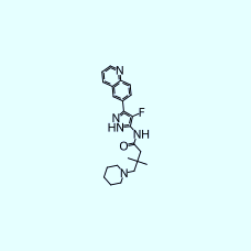 CC(C)(CC(=O)Nc1[nH]nc(-c2ccc3ncccc3c2)c1F)CN1CCCCC1